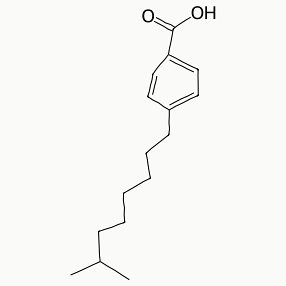 CC(C)CCCCCCc1ccc(C(=O)O)cc1